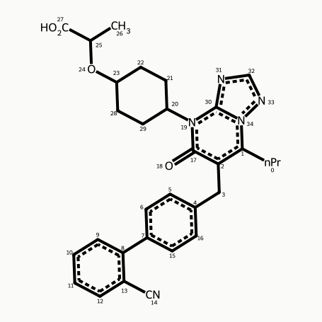 CCCc1c(Cc2ccc(-c3ccccc3C#N)cc2)c(=O)n(C2CCC(OC(C)C(=O)O)CC2)c2ncnn12